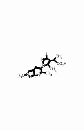 Cc1nc2nn(C)cc2cc1-n1nc(I)c(C(C)C(=O)O)c1C